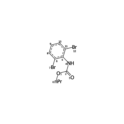 CCCOC(=O)Nc1c(Br)cccc1Br